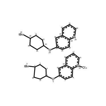 CC(C)(C)C1CCC(Oc2ccc3c(ccc[n+]3[O-])c2)CC1.CC(C)(C)C1CCC(Oc2ccc3ncccc3c2)CC1